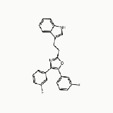 Fc1cccc(-c2nc(CCc3c[nH]c4ccccc34)oc2-c2cccc(F)c2)c1